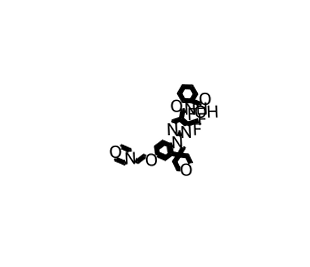 O=C(NC1(C(=O)O)CCCCC1)c1cnc(N2CC3(CCOCC3)c3cc(OCCN4CCOCC4)ccc32)nc1C(F)(F)F